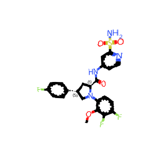 COc1c(N2C[C@H](c3ccc(F)cc3)C[C@H]2C(=O)Nc2ccnc(S(N)(=O)=O)c2)ccc(F)c1F